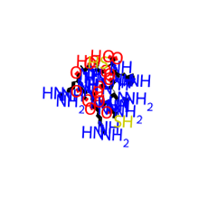 C[C@H](NC(=O)CNC(=O)[C@H](CO)NC(=O)[C@H](C)NC(=O)[C@H](CCCNC(=N)N)NC(=O)[C@H](CO)NC(=O)CNC(=O)[C@H](CCCNC(=N)N)NC(=O)[C@H](CCCNC(=N)N)NC(=O)[C@@H](N)CS)C(=O)N[C@@H](Cc1c[nH]cn1)C(=O)N[C@@H](CS)C(=O)O